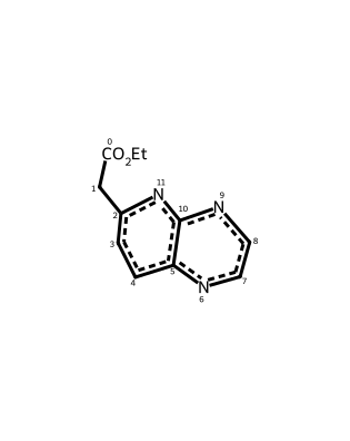 CCOC(=O)Cc1ccc2nccnc2n1